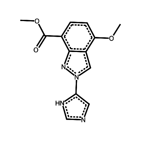 COC(=O)c1ccc(OC)c2cn(-c3cnc[nH]3)nc12